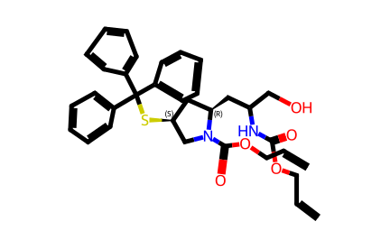 C=CCOC(=O)NC(CO)C[C@@H]1C[C@H](SC(c2ccccc2)(c2ccccc2)c2ccccc2)CN1C(=O)OCC=C